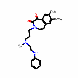 COc1cc2c(cc1OC)C(=O)C(=O)N(CCCN(C)CCNc1ccccc1)CC2